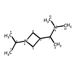 CC(C1CN(C(C)C)C1)N(C)C